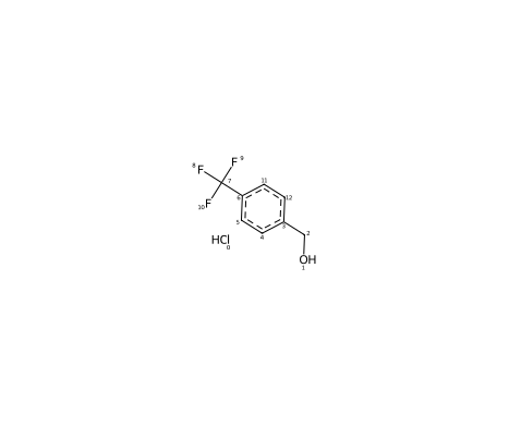 Cl.OCc1ccc(C(F)(F)F)cc1